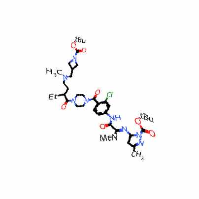 CCC(CCN(C)CC1CN(C(=O)OC(C)(C)C)C1)C(=O)N1CCN(C(=O)c2ccc(NC(=O)C(=NC3CC(C)=NN3C(=O)OC(C)(C)C)NC)cc2Cl)CC1